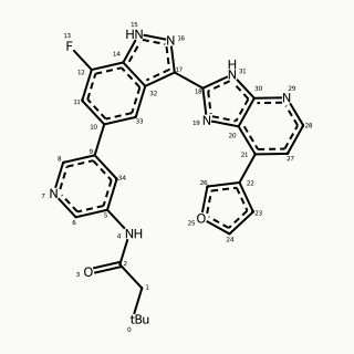 CC(C)(C)CC(=O)Nc1cncc(-c2cc(F)c3[nH]nc(-c4nc5c(-c6ccoc6)ccnc5[nH]4)c3c2)c1